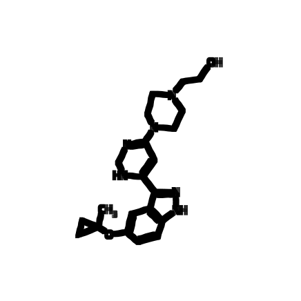 CC1(Oc2ccc3[nH]nc(C4=CC(N5CCN(CCO)CC5)=NCN4)c3c2)CC1